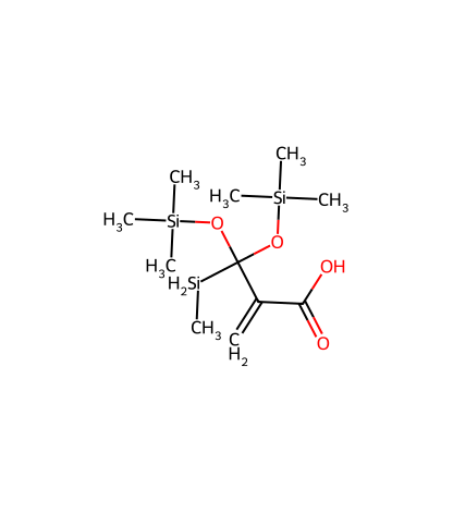 C=C(C(=O)O)C(O[Si](C)(C)C)(O[Si](C)(C)C)[SiH2]C